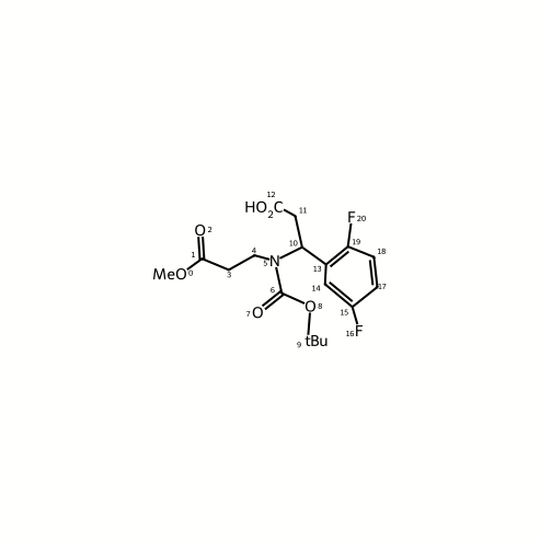 COC(=O)CCN(C(=O)OC(C)(C)C)C(CC(=O)O)c1cc(F)ccc1F